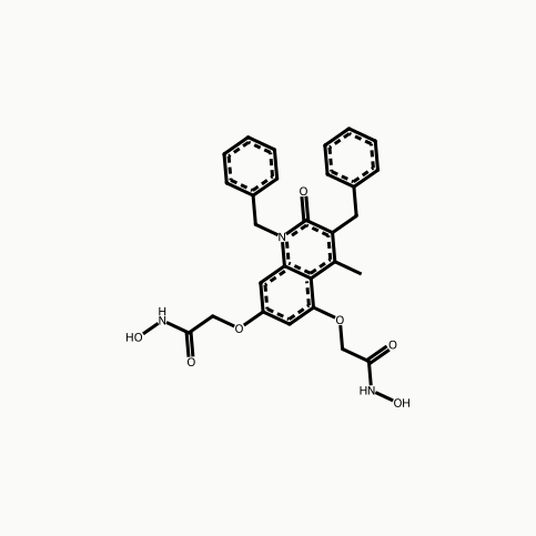 Cc1c(Cc2ccccc2)c(=O)n(Cc2ccccc2)c2cc(OCC(=O)NO)cc(OCC(=O)NO)c12